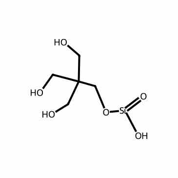 O=[Si](O)OCC(CO)(CO)CO